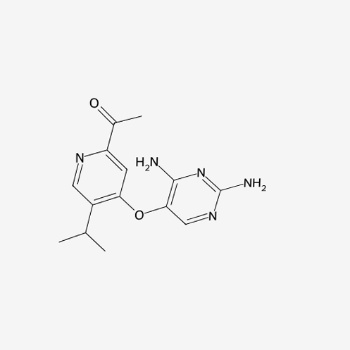 CC(=O)c1cc(Oc2cnc(N)nc2N)c(C(C)C)cn1